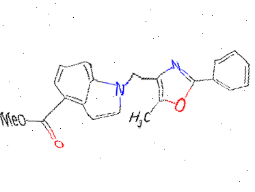 COC(=O)c1cccc2c1ccn2Cc1nc(-c2ccccc2)oc1C